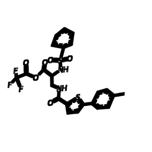 Cc1ccc(-c2ccc(C(=O)NCC(NS(=O)(=O)c3ccccc3)C(=O)OC(=O)C(F)(F)F)s2)cc1